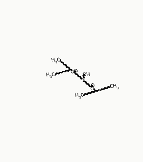 CCCCCCCCCCC(CCCCCCCC)COC(=O)CCCCCN(CCO)CCCCCC(=O)OCC(CCCCCCCC)CCCCCCCCCC